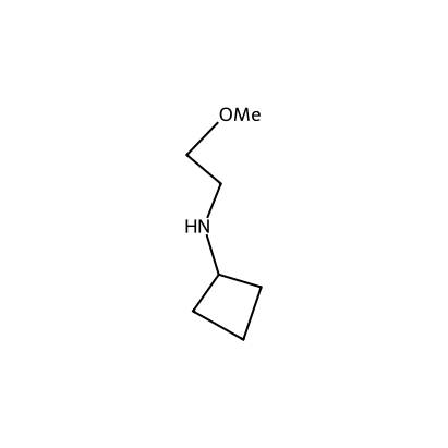 COCCNC1CCC1